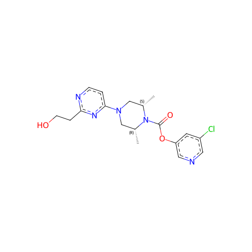 C[C@@H]1CN(c2ccnc(CCO)n2)C[C@H](C)N1C(=O)Oc1cncc(Cl)c1